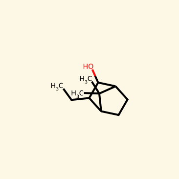 CCC1C(O)C2CCC1C2(C)C